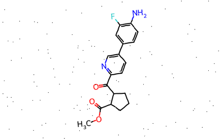 COC(=O)C1CCCC1C(=O)c1ccc(-c2ccc(N)c(F)c2)cn1